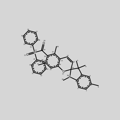 Cc1ccc2c(c1)C(C)(C)C1(C=Cc3c(cc(C)c(C(=O)P(=O)(c4ccccc4)c4ccccc4)c3C)O1)N2C